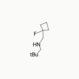 CC(C)(C)CNCC1(F)CCC1